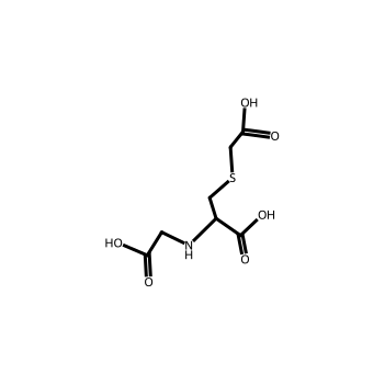 O=C(O)CNC(CSCC(=O)O)C(=O)O